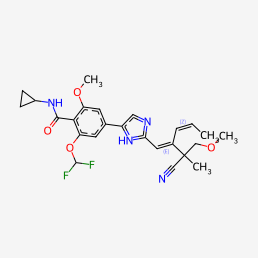 C/C=C\C(=C/c1ncc(-c2cc(OC)c(C(=O)NC3CC3)c(OC(F)F)c2)[nH]1)C(C)(C#N)COC